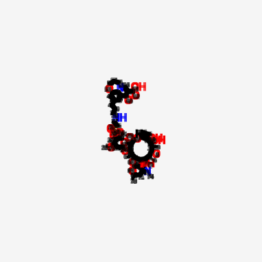 CO[C@]1(C)C[C@@H](C)C(=O)[C@H](C)[C@@H](O)[C@@]2(O)CC[C@H]2OC(=O)[C@H](C)[C@@H](O[C@H]2C[C@@](C)(OC)[C@@H](OS(=O)(=O)CCNCCCc3cc4c5c(c3)c(=O)c(C(=O)O)cn5CCCO4)[C@H](C)O2)[C@H](C)[C@H]1O[C@@H]1O[C@H](C)C[C@H](N(C)C)[C@H]1O